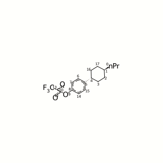 CCC[C@H]1CC[C@H](c2ccc(OS(=O)(=O)C(F)(F)F)cc2)CC1